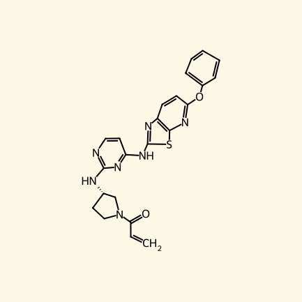 C=CC(=O)N1CC[C@H](Nc2nccc(Nc3nc4ccc(Oc5ccccc5)nc4s3)n2)C1